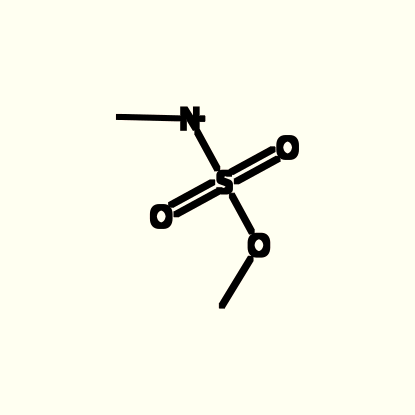 C[N]S(=O)(=O)OC